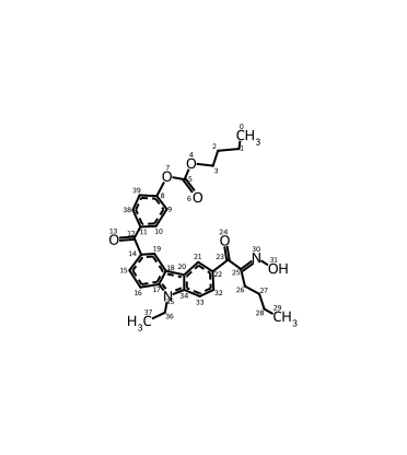 CCCCOC(=O)Oc1ccc(C(=O)c2ccc3c(c2)c2cc(C(=O)/C(CCCC)=N/O)ccc2n3CC)cc1